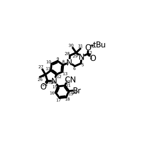 CC(C)(C)OC(=O)N1CCN(c2ccc3c(c2)N(c2cccc(Br)c2C#N)C(=O)C3(C)C)CC1(C)C